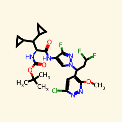 COc1nnc(Cl)cc1C(CC(F)F)n1cc(NC(=O)[C@@H](NC(=O)OC(C)(C)C)C(C2CC2)C2CC2)c(F)n1